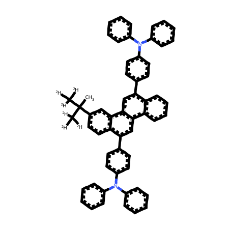 [2H]C([2H])([2H])C(C)(c1ccc2c(-c3ccc(N(c4ccccc4)c4ccccc4)cc3)cc3c4ccccc4c(-c4ccc(N(c5ccccc5)c5ccccc5)cc4)cc3c2c1)C([2H])([2H])[2H]